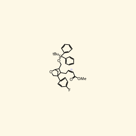 COC(=O)/C=C\CC1C(CO[Si](c2ccccc2)(c2ccccc2)C(C)(C)C)C2CC1(c1ccc(F)cc1)CO2